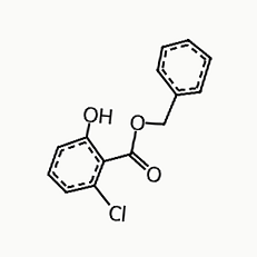 O=C(OCc1ccccc1)c1c(O)cccc1Cl